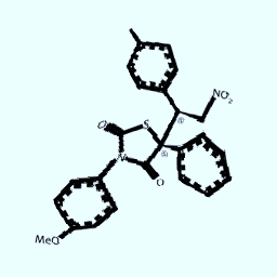 COc1ccc(N2C(=O)S[C@](c3ccccc3)([C@H](C[N+](=O)[O-])c3ccc(C)cc3)C2=O)cc1